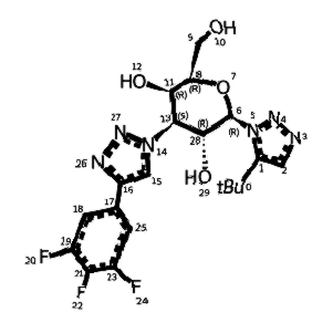 CC(C)(C)c1cnnn1[C@@H]1O[C@H](CO)[C@H](O)[C@H](n2cc(-c3cc(F)c(F)c(F)c3)nn2)[C@H]1O